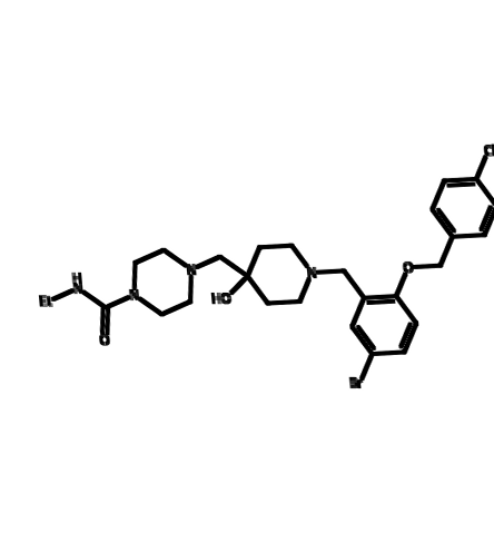 CCNC(=O)N1CCN(CC2(O)CCN(Cc3cc(Br)ccc3OCc3ccc(Cl)cc3)CC2)CC1